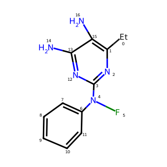 CCc1nc(N(F)c2ccccc2)nc(N)c1N